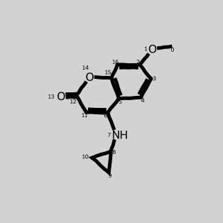 COc1ccc2c(NC3CC3)cc(=O)oc2c1